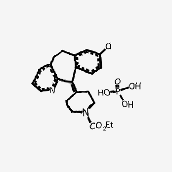 CCOC(=O)N1CCC(=C2c3ccc(Cl)cc3CCc3cccnc32)CC1.O=P(O)(O)O